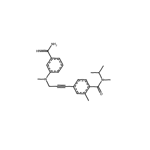 Cc1cc(C#CCN(C)c2cccc(C(=N)N)c2)ccc1C(=O)N(C)C(C)C